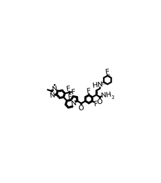 Cc1nc2cc(-c3cccn4c(C(=O)c5cc(F)c(C(=CCN[C@H]6CCC[C@@H](F)C6)C(N)=O)c(F)c5)ccc34)c(C(F)(F)F)cc2n1C